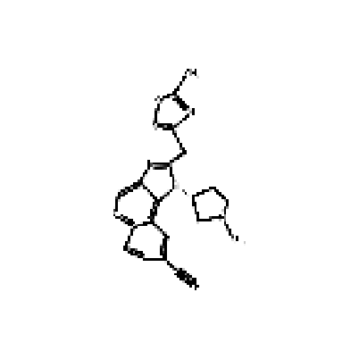 Cc1nc(Cc2nc3cnc4ccc(C#N)cc4c3n2[C@@H]2CCN(C)C2)no1